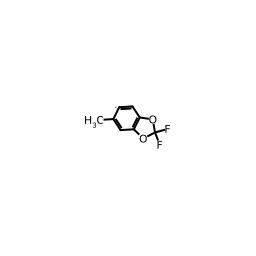 Cc1[c]cc2c(c1)OC(F)(F)O2